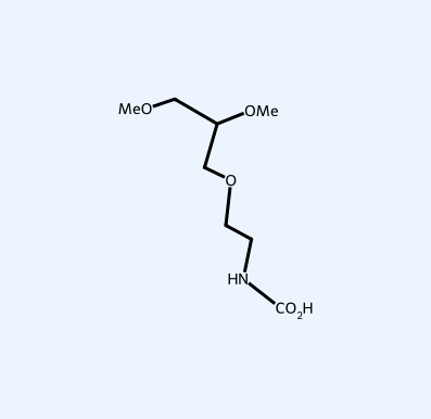 COCC(COCCNC(=O)O)OC